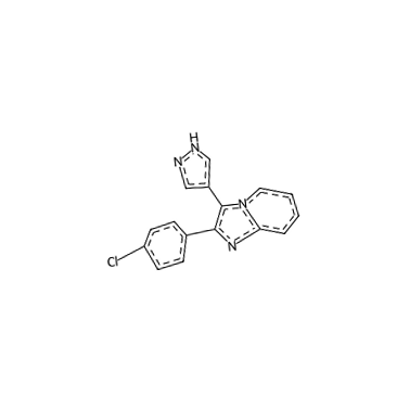 Clc1ccc(-c2nc3ccccn3c2-c2cn[nH]c2)cc1